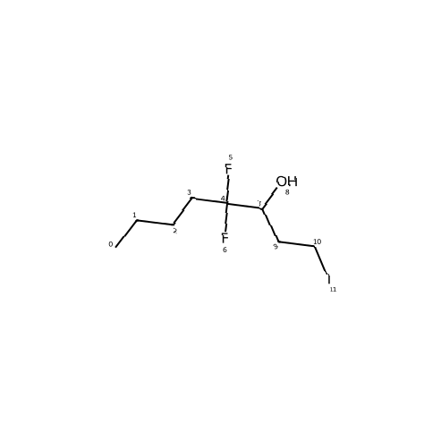 CCCCC(F)(F)C(O)CCI